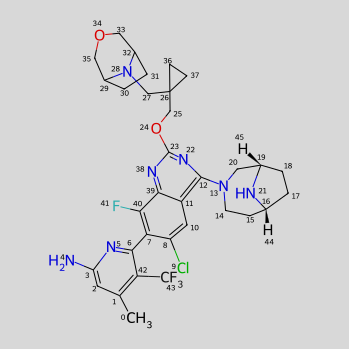 Cc1cc(N)nc(-c2c(Cl)cc3c(N4CC[C@H]5CC[C@@H](C4)N5)nc(OCC4(CN5C6CCC5COC6)CC4)nc3c2F)c1C(F)(F)F